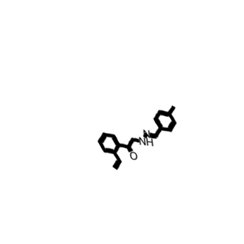 C=Cc1ccccc1C(=O)CNN=Cc1ccc(C)cc1